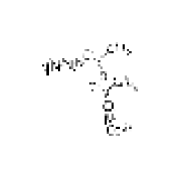 CC(=O)[O-].CC(=O)[O-].[Co+2].[N].[N].[N].[N].[N]